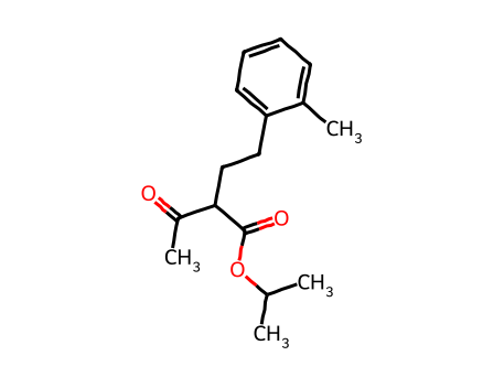 CC(=O)C(CCc1ccccc1C)C(=O)OC(C)C